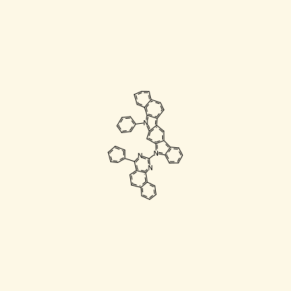 c1ccc(-c2nc(-n3c4ccccc4c4cc5c6ccc7ccccc7c6n(-c6ccccc6)c5cc43)nc3c2ccc2ccccc23)cc1